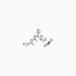 O.O.O.O.O.O.[O]=[Zr]